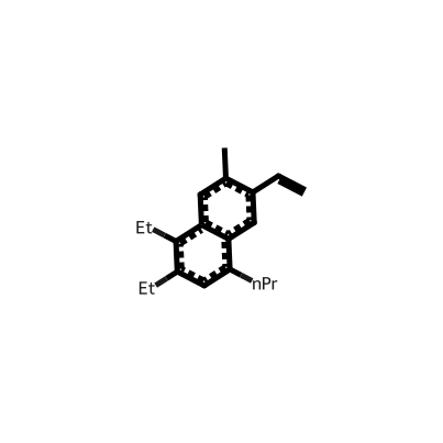 C=Cc1cc2c(CCC)cc(CC)c(CC)c2cc1C